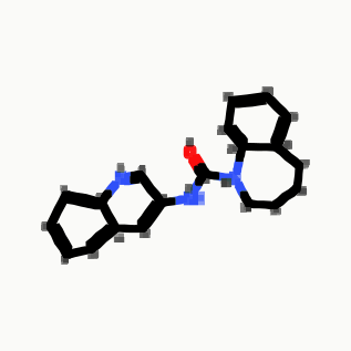 O=C(Nc1cnc2ccccc2c1)N1CCCCc2ccccc21